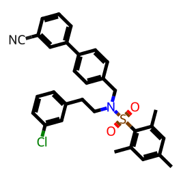 Cc1cc(C)c(S(=O)(=O)N(CCc2cccc(Cl)c2)Cc2ccc(-c3cccc(C#N)c3)cc2)c(C)c1